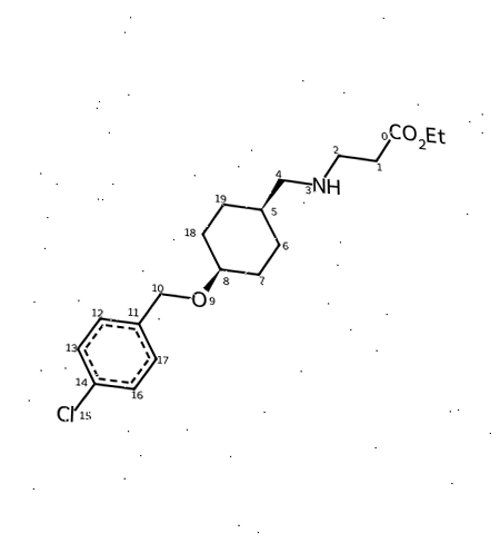 CCOC(=O)CCNC[C@H]1CC[C@@H](OCc2ccc(Cl)cc2)CC1